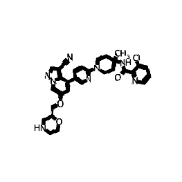 CC1(NC(=O)c2ncccc2Cl)CCN(c2ccc(-c3cc(OC[C@@H]4CNCCO4)cn4ncc(C#N)c34)cn2)CC1